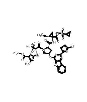 C=C[C@@H]1C[C@]1(NC(=O)[C@@H]1C[C@@H](Oc2nc(-c3ccc(Cl)s3)nc3c2oc2ccccc23)CN1C(=O)[C@@H](Nc1nc(C)c(C(=O)OC)s1)C(C)(C)C)C(=O)NS(=O)(=O)C1CC1